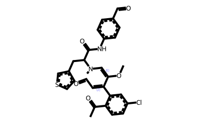 COC(=C/N(C)C(Cc1ccsc1)C(=O)Nc1ccc(C=O)cc1)/C(=C\C=O)c1cc(Cl)ccc1C(C)=O